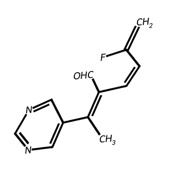 C=C(F)/C=C\C(C=O)=C(/C)c1cncnc1